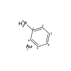 Pc1ccccc1.[Au]